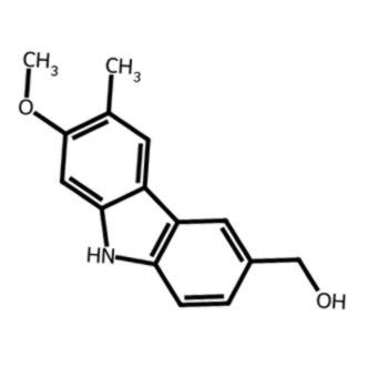 COc1cc2[nH]c3ccc(CO)cc3c2cc1C